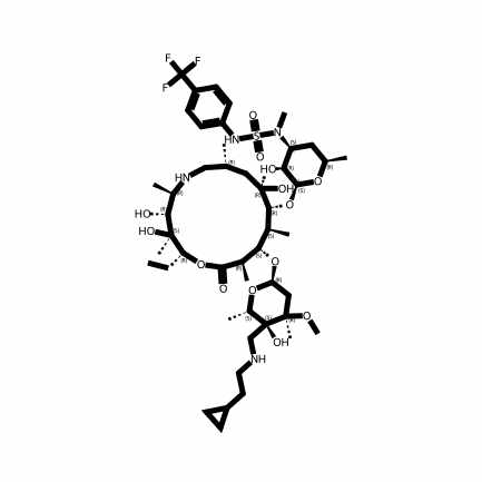 CC[C@H]1OC(=O)[C@H](C)[C@@H](O[C@H]2C[C@@](C)(OC)[C@](O)(CNCCC3CC3)[C@H](C)O2)[C@H](C)[C@@H](O[C@@H]2O[C@H](C)C[C@H](N(C)S(=O)(=O)Nc3ccc(C(F)(F)F)cc3)[C@H]2O)[C@](C)(O)C[C@@H](C)CN[C@H](C)[C@@H](O)[C@]1(C)O